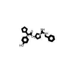 N=C(NCc1ccccc1)N1CC[C@@H](OC(=O)[C@@H](c2ccc(O)cc2)C2CCCC2)C1